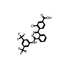 O=C(O)c1ccc(-c2nnc(Nc3cc(C(F)(F)F)cc(C(F)(F)F)c3)c3ccccc23)c(Cl)c1